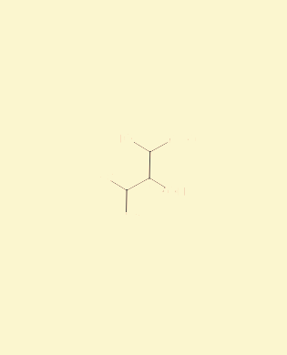 CCCC(O)C(O)C(O)C=O